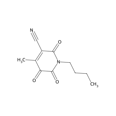 CCCCN1C(=O)C(=O)C(C)=C(C#N)C1=O